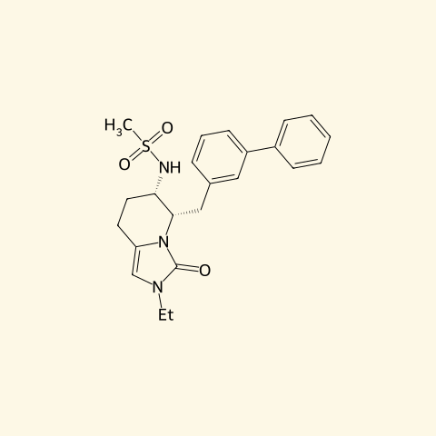 CCn1cc2n(c1=O)[C@@H](Cc1cccc(-c3ccccc3)c1)[C@@H](NS(C)(=O)=O)CC2